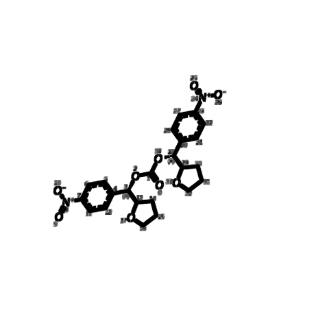 O=C(O[C@H](c1ccc([N+](=O)[O-])cc1)C1CCCO1)O[C@H](c1ccc([N+](=O)[O-])cc1)C1CCCO1